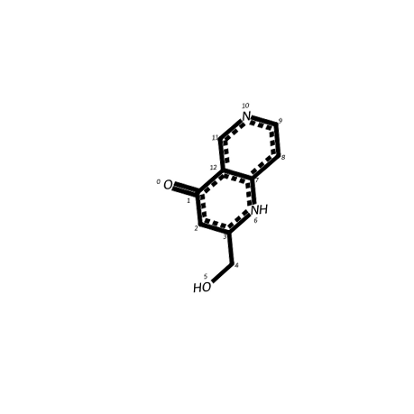 O=c1cc(CO)[nH]c2ccncc12